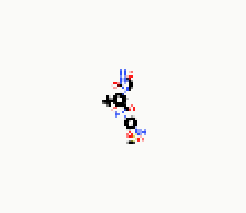 CCS(=O)(=O)Nc1ccc(NC(=O)c2cc(N3CCC(=O)NC3=O)cc(C(C)(C)C)c2O)cc1